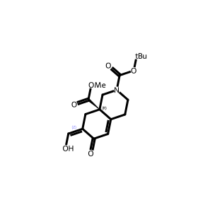 COC(=O)[C@]12C/C(=C/O)C(=O)C=C1CCN(C(=O)OC(C)(C)C)C2